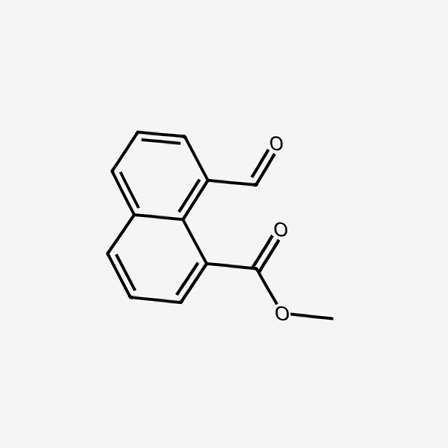 COC(=O)c1cccc2cccc(C=O)c12